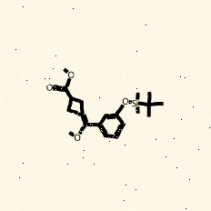 COC(=O)C1CC(=C(OC)c2cccc(O[Si](C)(C)C(C)(C)C)c2)C1